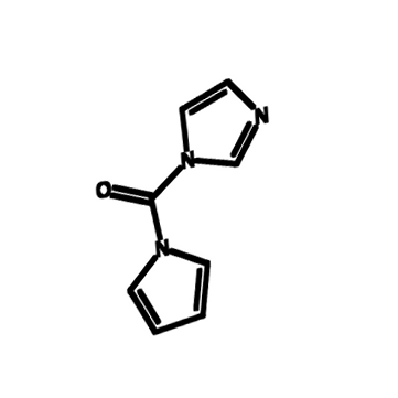 O=C(n1cccc1)n1ccnc1